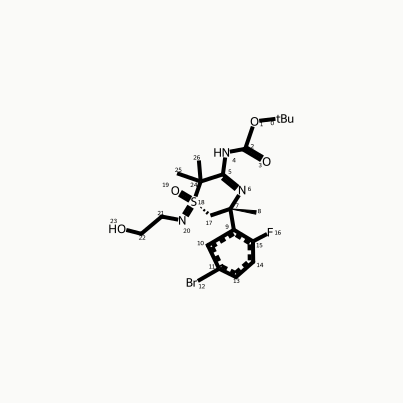 CC(C)(C)OC(=O)NC1=N[C@](C)(c2cc(Br)ccc2F)C[S@@](=O)(=NCCO)C1(C)C